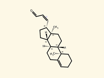 C[C@]12CC[C@H]3[C@@H](CCC4=CCCC[C@@]43C)[C@@H]1CC[C@@H]2/C=C\C=O